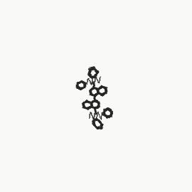 c1ccc(-n2c(-c3ccc(-c4ccc(-c5nc6ccccc6n5-c5ccccc5)c5ccccc45)c4ccccc34)nc3ccccc32)cc1